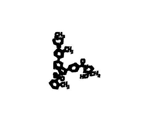 Cc1cc(-c2cnc3c(c2)c(-c2ccc(C(=O)N4CCC(C)(O)C4)cc2)cn3S(=O)(=O)c2ccccc2C)ccc1N1CCN(C)CC1